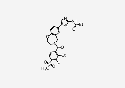 CCC(=O)Nc1ncc(-c2ccc3c(c2)CN(C(=O)c2ccc(S(C)(=O)=O)c(F)c2CC)CCO3)s1